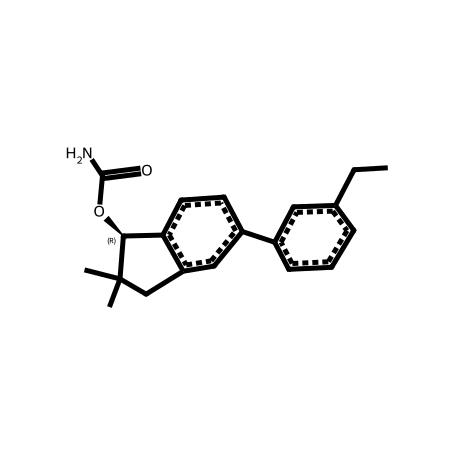 CCc1cccc(-c2ccc3c(c2)CC(C)(C)[C@H]3OC(N)=O)c1